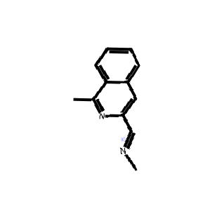 C/N=C/c1cc2ccccc2c(C)n1